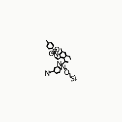 C=C(c1c(CC)cc(C)c2c1ccn2S(=O)(=O)c1ccc(C)cc1)c1nc2cc(C#N)ccc2n1COCC[Si](C)(C)C